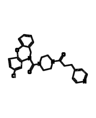 O=C(CCc1ccncc1)N1CCN(C(=O)N2Cc3ccccc3Oc3ccc(Cl)cc32)CC1